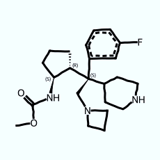 COC(=O)N[C@H]1CCC[C@@H]1[C@](CN1CCC1)(c1cccc(F)c1)C1CCNCC1